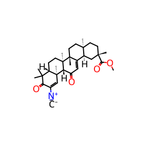 [C-]#[N+]C1=C[C@]2(C)[C@H]3C(=O)C=C4[C@@H]5C[C@@](C)(C(=O)OC)CC[C@]5(C)CC[C@@]4(C)[C@]3(C)CC[C@H]2C(C)(C)C1=O